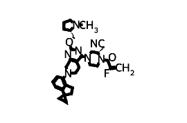 C=C(F)C(=O)N1CCN(c2nc(OC[C@@H]3CCCN3C)nc3c2CCN(c2cccc4c2CCC42CC2)C3)C[C@@H]1CC#N